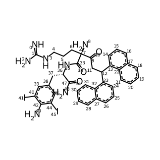 N=C(N)NCCC[C@](N)(C(=O)CC(c1cccc2ccccc12)c1cccc2ccccc12)C(=O)N[C@@H](Cc1cc(I)c(N)c(I)c1)C(N)=O